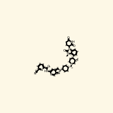 Cn1c(=O)n(C2CCC(=O)NC2=O)c2cccc([C@@H]3CCN(C[C@H]4CC[C@H](n5cc6cc(NC(=O)c7cccc(C#N)n7)ncc6n5)CC4)C[C@@H]3F)c21